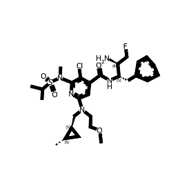 COCCN(C[C@H]1C[C@@H]1C)c1cc(C(=O)N[C@@H](Cc2ccccc2)[C@@H](N)CF)c(Cl)c(N(C)S(=O)(=O)C(C)C)n1